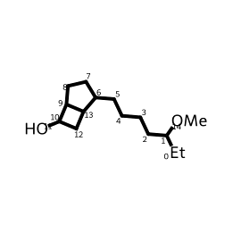 CCC(CCCCC1CCC2C(O)CC12)OC